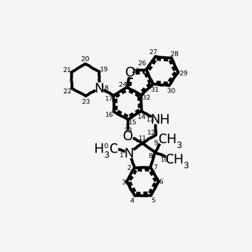 CN1c2ccccc2C(C)(C)C12CNc1c(cc(N3CCCCC3)c3oc4ccccc4c13)O2